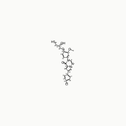 COc1cc(-n2cnn3cc(-c4ccc(Cl)cc4)cc3c2=O)ccc1OC[C@H](O)CS